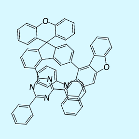 c1ccc(-c2nc(-c3ccccc3)nc(-c3cccc4c3-c3cc(-c5c6c(cc7c8ccccc8n(-c8ccccc8)c57)oc5ccccc56)ccc3C43c4ccccc4Oc4ccccc43)n2)cc1